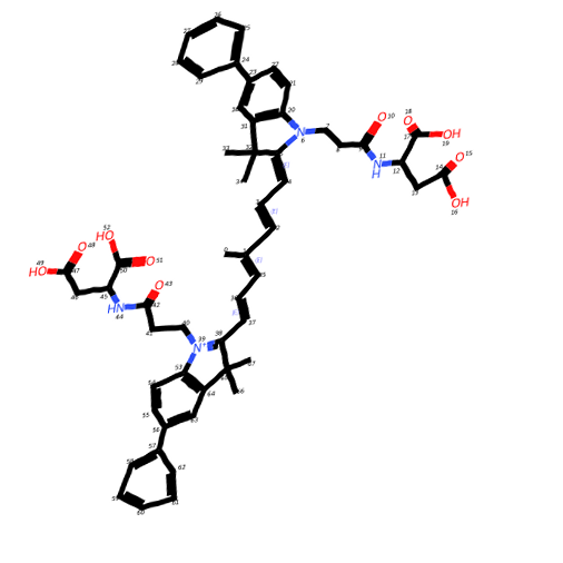 CC(/C=C/C=C1/N(CCC(=O)NC(CC(=O)O)C(=O)O)c2ccc(-c3ccccc3)cc2C1(C)C)=C\C=C\C1=[N+](CCC(=O)NC(CC(=O)O)C(=O)O)c2ccc(-c3ccccc3)cc2C1(C)C